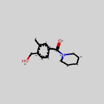 Cc1cc(C(=O)N2CCCCC2)ccc1CO